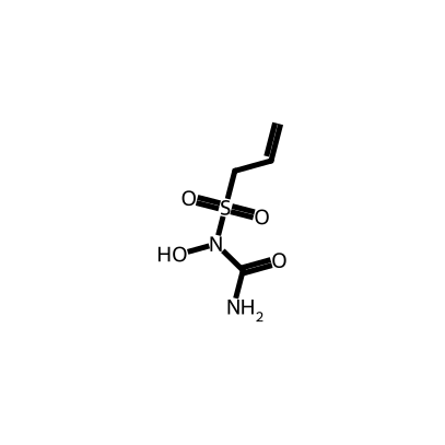 C=CCS(=O)(=O)N(O)C(N)=O